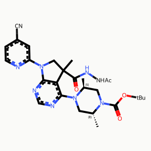 CC(=O)NNC(=O)C1(C)CN(c2cc(C#N)ccn2)c2ncnc(N3C[C@@H](C)N(C(=O)OC(C)(C)C)C[C@@H]3C)c21